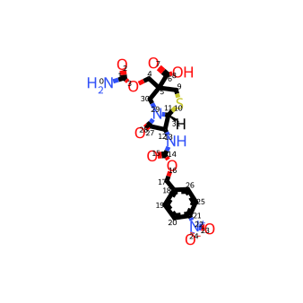 NC(=O)OCC1(C(=O)O)CS[C@@H]2C(NC(=O)OCc3ccc([N+](=O)[O-])cc3)C(=O)N2C1